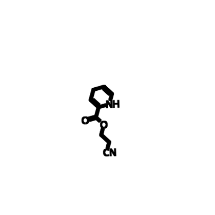 N#CCCOC(=O)C1=CCC=CN1